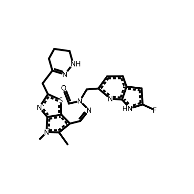 Cc1c(/C=N\N(C=O)Cc2ccc3cc(F)[nH]c3n2)c2sc(CC3=NNCCC3)nc2n1C